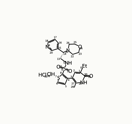 CCc1cc(-c2ccsc2S(=O)(=O)NC[C@H](c2cccnc2)N2CCOCC2)c(C)[nH]c1=O.Cl.Cl